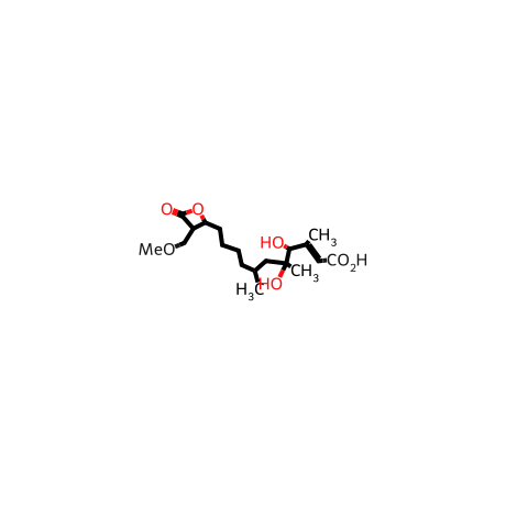 COCC1C(=O)OC1CCCCC(C)CC(C)(O)C(O)C(C)=CC(=O)O